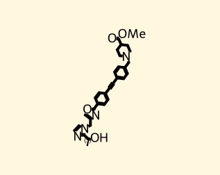 COC(=O)C1CCN(Cc2ccc(C#Cc3ccc(-c4nc(Cn5ccnc5[C@H](C)O)co4)cc3)cc2)CC1